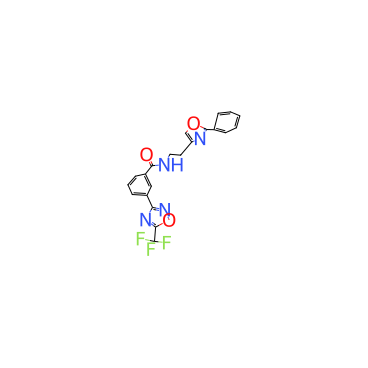 O=C(NCCc1coc(-c2ccccc2)n1)c1cccc(-c2noc(C(F)(F)F)n2)c1